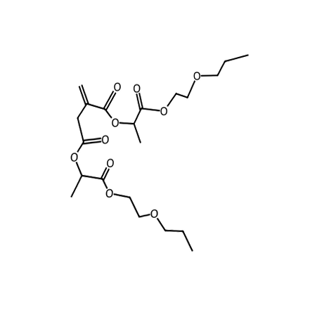 C=C(CC(=O)OC(C)C(=O)OCCOCCC)C(=O)OC(C)C(=O)OCCOCCC